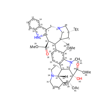 CC[C@@H]1C[C@@H]2C[N@](Cc3c([nH]c4ccccc34)[C@H](C(=O)OC)C2c2ccc3c(c2OC)N(C)C2[C@]34CCN3CC=C[C@@](CC)([C@@H](OC(C)=O)[C@]2(O)C(=O)OC)[C@H]34)C1